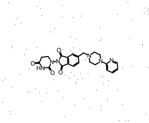 O=C1CCN(N2C(=O)c3ccc(CN4CCN(c5ccccn5)CC4)cc3C2=O)C(=O)N1